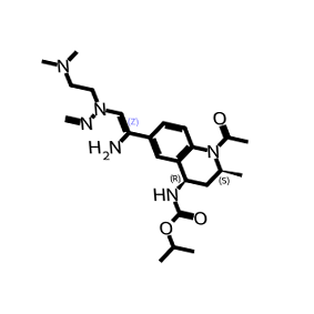 C=NN(/C=C(\N)c1ccc2c(c1)[C@H](NC(=O)OC(C)C)C[C@H](C)N2C(C)=O)CCN(C)C